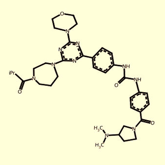 CC(C)C(=O)N1CCCN(c2nc(-c3ccc(NC(=O)Nc4ccc(C(=O)N5CCC(N(C)C)C5)cc4)cc3)nc(N3CCOCC3)n2)CC1